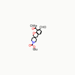 COC(=O)c1c(C=O)ccc2c1OCC1(CCN(C(=O)OC(C)(C)C)CC1)C2